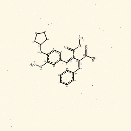 COC(=O)C(=C\c1ccc(OC2CCCC2)c(OC)c1)/C(=C\c1ccccc1)C(=O)O